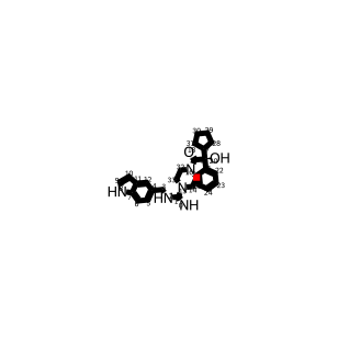 N=C(NCc1ccc2[nH]ccc2c1)N1CCN(C(=O)[C@](O)(c2ccccc2)C2CCCC2)CC1